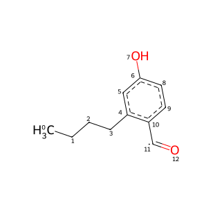 CCCCc1cc(O)ccc1[C]=O